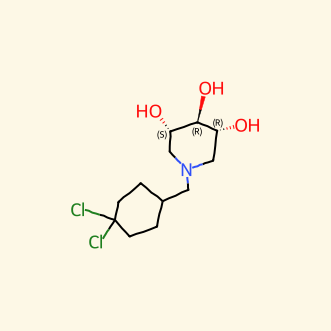 O[C@H]1[C@H](O)CN(CC2CCC(Cl)(Cl)CC2)C[C@@H]1O